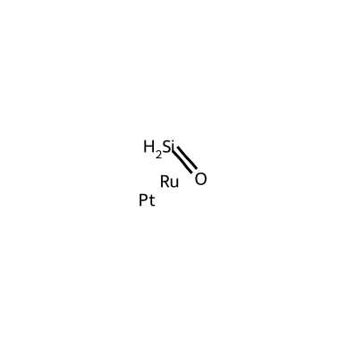 O=[SiH2].[Pt].[Ru]